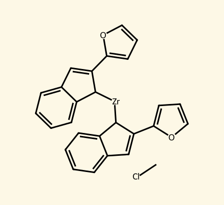 C1=C(c2ccco2)[CH]([Zr][CH]2C(c3ccco3)=Cc3ccccc32)c2ccccc21.CCl